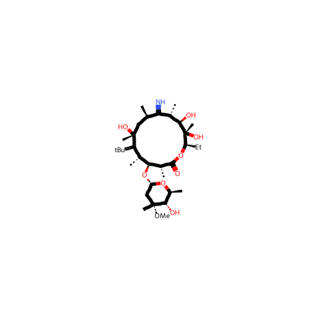 CC[C@H]1OC(=O)[C@H](C)[C@@H](O[C@H]2C[C@@](C)(OC)[C@@H](O)[C@H](C)O2)[C@H](C)C(C(C)(C)C)[C@](C)(O)C[C@@H](C)C(=N)[C@H](C)[C@@H](O)[C@]1(C)O